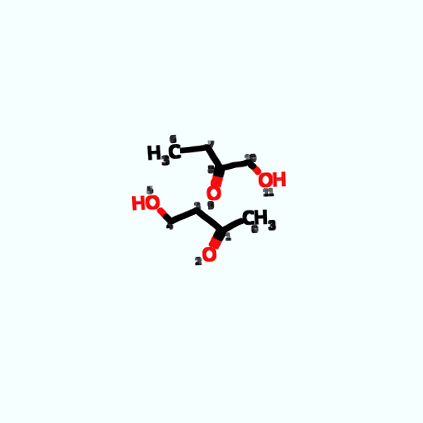 CC(=O)CCO.CCC(=O)CO